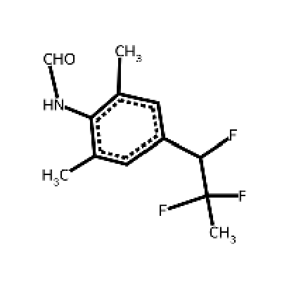 Cc1cc(C(F)C(C)(F)F)cc(C)c1NC=O